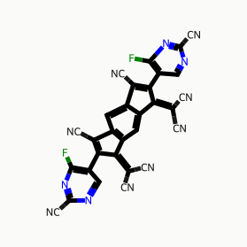 N#CC(C#N)=C1C(c2cnc(C#N)nc2F)=C(C#N)c2cc3c(cc21)C(=C(C#N)C#N)C(c1cnc(C#N)nc1F)=C3C#N